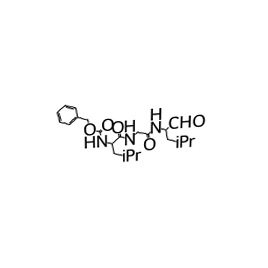 CC(C)CC(C=O)NC(=O)CNC(=O)C(CC(C)C)NC(=O)OCc1ccccc1